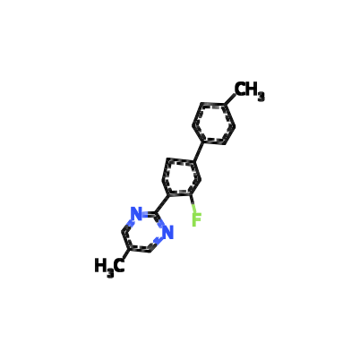 Cc1ccc(-c2ccc(-c3ncc(C)cn3)c(F)c2)cc1